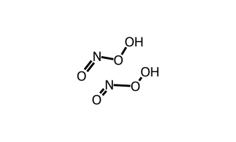 O=NOO.O=NOO